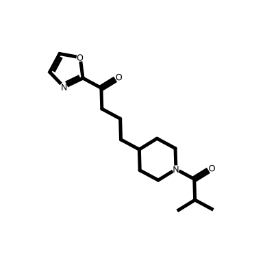 CC(C)C(=O)N1CCC(CCCC(=O)c2ncco2)CC1